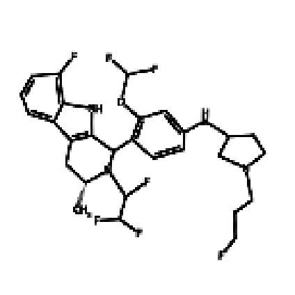 C[C@@H]1Cc2c([nH]c3c(F)cccc23)C(c2ccc(NC3CCN(CCCF)C3)cc2OC(F)F)N1C(F)C(F)F